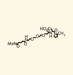 CNC(=O)CCCC(=O)NCCOCCOCCOCCC(=O)NC(CC(=O)O)C(=O)N1CCCC1C